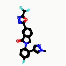 Cn1cc(-c2cc(F)ccc2N2Cc3ccc(-c4nnc(C(F)F)o4)cc3C2=O)cn1